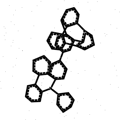 c1ccc(-c2ccccc2N(c2ccccc2)c2ccc(-c3ccc4c(c3)-c3c5cccc3-c3cccc-4c3-c3ccccc3-5)cc2)cc1